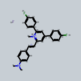 CN(C)c1ccc(/C=C/c2cc(-c3ccc(F)cc3)cc(-c3ccc(F)cc3)[n+]2C)cc1.[I-]